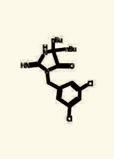 CCCCC1(CCCC)NC(=N)N(Cc2cc(Cl)cc(Cl)c2)C1=O